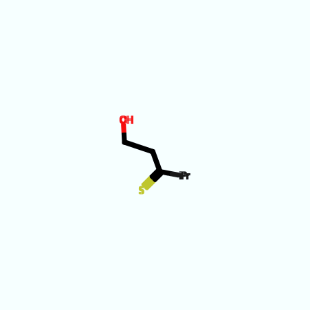 CC(C)C(=S)CCO